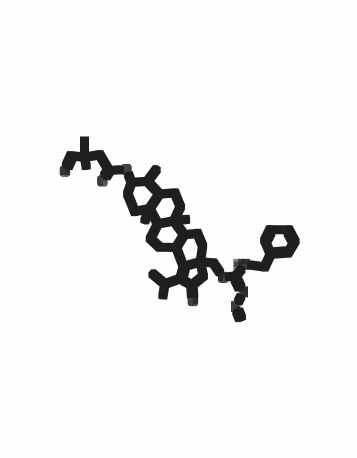 C=N/N=C(/NCc1ccccc1)OCC12CCC3C(CCC4C3(C)CCC3C(C)C(OC(=O)CC(C)(C)C=O)CCC34C)C1=C(C(C)C)C(=O)C2